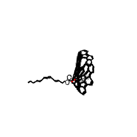 CCCCCCCCCCCCOC(=O)CCCC1(c2ccccc2)[C@]23C4=c5ccc6c7ccc8c9ccc%10c%11ccc%12c%13c(c%14c%15c2c5c6c2c7c8c5c9c%10c(c%13%11)c%14c5c%152)[C@]13C=%12C=C4